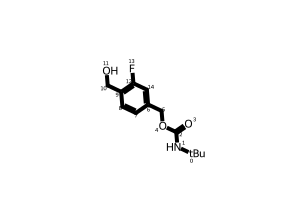 CC(C)(C)NC(=O)OCc1ccc(CO)c(F)c1